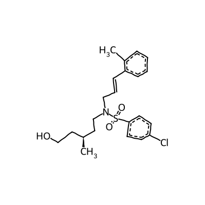 Cc1ccccc1C=CCN(CC[C@@H](C)CCO)S(=O)(=O)c1ccc(Cl)cc1